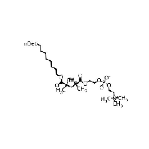 CCCCCCCCCCCCCCCCCCOC(=O)C(C)(C)CC(C)(CC)C(=O)OCCOP(=O)([O-])OCC[N+](C)(C)C